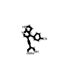 CN/C=C(/C#Cc1cnc2[nH]ccc2c1C1=CCC(C#N)CC1)C=N